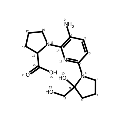 Nc1ccc(N2CCCC2(O)CO)nc1N1CCCC1C(=O)O